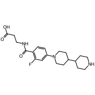 O=C(O)CCNC(=O)c1ccc(N2CCC(C3CCNCC3)CC2)cc1F